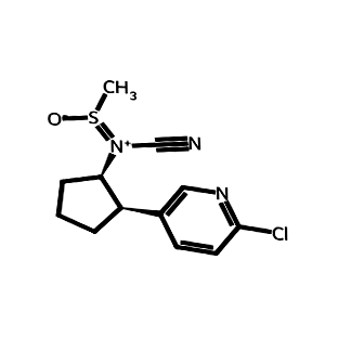 CS([O-])=[N+](C#N)[C@@H]1CCC[C@@H]1c1ccc(Cl)nc1